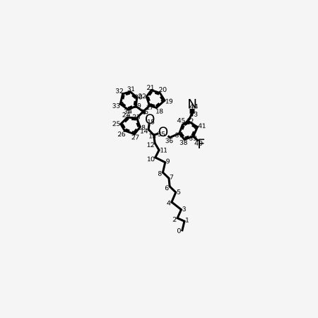 CCCCCCCCCCCCCC(COC(c1ccccc1)(c1ccccc1)c1ccccc1)OCc1cc(F)cc(C#N)c1